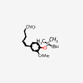 COc1cc(/C=C\CCC=O)ccc1O[Si](C)(C)C(C)(C)C